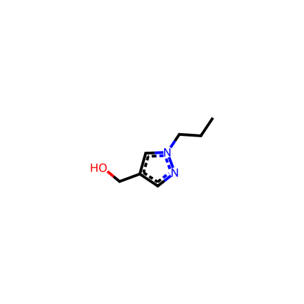 CCCn1cc(CO)cn1